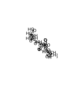 CC(C)NC(=O)[C@H](CC(=O)O)NC(=O)[C@@H](N)CNC(=O)[C@H](Cc1ccccc1)NC(=O)[C@H](CCc1ccccc1)NC(=O)CCNC(=O)CC[C@H](NC(=O)N[C@@H](CCC(=O)O)C(=O)O)C(=O)O